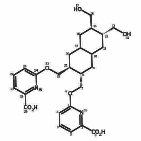 O=C(O)c1cccc(OC[C@H]2CC3C[C@@H](CO)[C@H](CO)CC3C[C@@H]2COc2cccc(C(=O)O)n2)n1